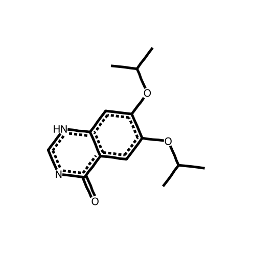 CC(C)Oc1cc2[nH]cnc(=O)c2cc1OC(C)C